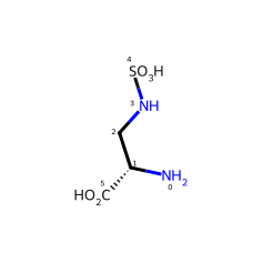 N[C@@H](CNS(=O)(=O)O)C(=O)O